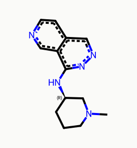 CN1CCC[C@@H](Nc2nncc3ccncc23)C1